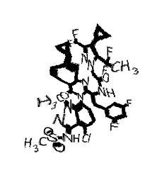 Cn1nc(NS(C)(=O)=O)c2c(Cl)ccc(-n3c(C(Cc4cc(F)cc(F)c4)NC(=O)Cn4nc(C(F)F)c(C5CC5)c4C(C)(F)F)nc4cc(C5CC5)ccc4c3=O)c21